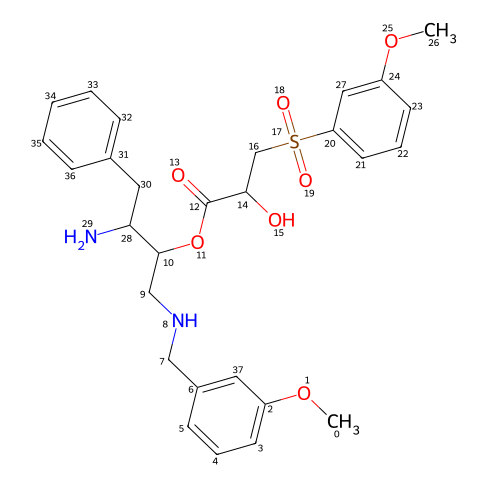 COc1cccc(CNCC(OC(=O)C(O)CS(=O)(=O)c2cccc(OC)c2)C(N)Cc2ccccc2)c1